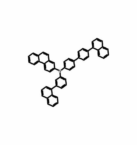 c1cc(-c2cccc3ccccc23)cc(N(c2ccc(-c3ccc(-c4cccc5ccccc45)cc3)cc2)c2ccc3c(ccc4ccccc43)c2)c1